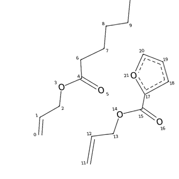 C=CCOC(=O)CCCCC.C=CCOC(=O)c1ccco1